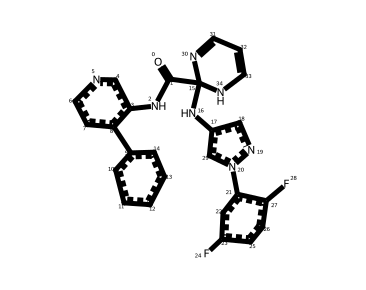 O=C(Nc1cnccc1-c1ccccc1)C1(Nc2cnn(-c3cc(F)ccc3F)c2)N=CC=CN1